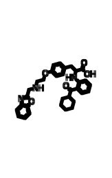 O=C(c1ccccc1NC(Cc1ccc(OCCNCc2nc3ccccc3o2)cc1)C(=O)O)C1CCCCC1